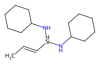 CC=C[SiH](NC1CCCCC1)NC1CCCCC1